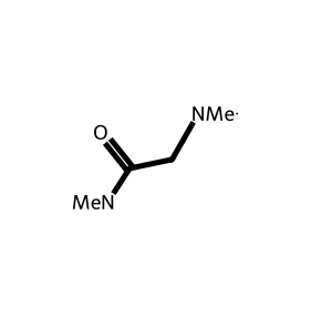 C[N]CC(=O)NC